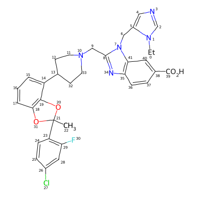 CCn1cncc1Cn1c(CN2CCC(c3cccc4c3OC(C)(c3ccc(Cl)cc3F)O4)CC2)nc2ccc(C(=O)O)cc21